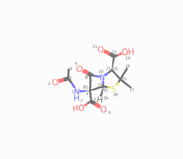 CC(=O)N[C@@]1(C(=O)O)C(=O)N2[C@@H](C(=O)O)C(C)(C)S[C@@H]21